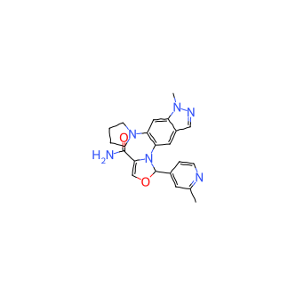 Cc1cc(C2OC=C(C(N)=O)N2c2cc3cnn(C)c3cc2N2CCCC2)ccn1